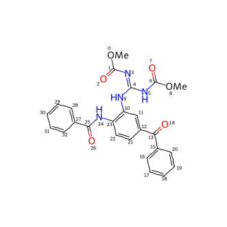 COC(=O)/N=C(/NC(=O)OC)Nc1cc(C(=O)c2ccccc2)ccc1NC(=O)c1ccccc1